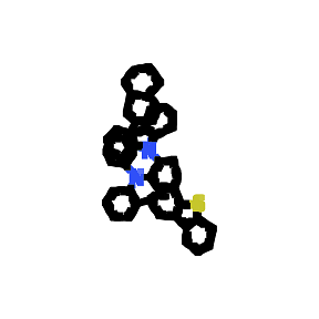 c1cc(-c2ccc3ccccc3c2)cc(N(c2ccccc2-c2ccc3sc4ccccc4c3c2)c2ccccc2-n2c3ccccc3c3ccccc32)c1